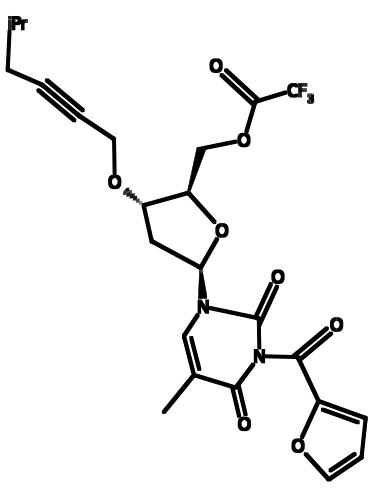 Cc1cn([C@H]2C[C@H](OCC#CCC(C)C)[C@@H](COC(=O)C(F)(F)F)O2)c(=O)n(C(=O)c2ccco2)c1=O